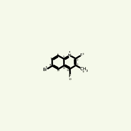 Cc1c(F)nc2ccc(Br)cc2c1F